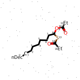 CCCCCCCCCCCCCCCCC[C](OC(=O)CC)SC(=O)CC